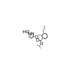 CCCc1cccc(C(=O)OC(C)C)c1COc1ccn(O)n1